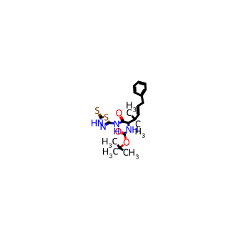 CC(C)(C)OC(=O)NC(C(=O)Nc1n[nH]c(=S)s1)C(C)(C)/C=C/Cc1ccccc1